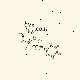 COC1=C(C(=O)O)C(SCc2ccccc2)C(C)(C(=O)O)C=C1